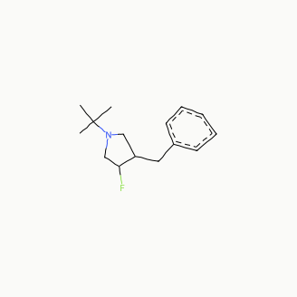 CC(C)(C)N1CC(F)C(Cc2ccccc2)C1